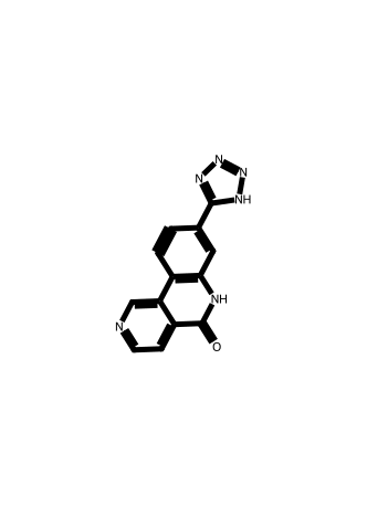 O=c1[nH]c2cc(-c3nnn[nH]3)c#cc2c2cnccc12